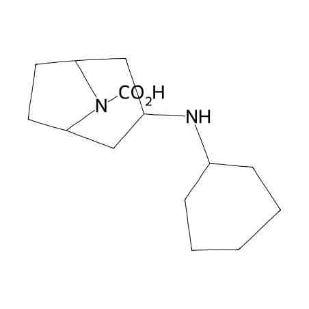 O=C(O)N1C2CCC1CC(NC1CCCCC1)C2